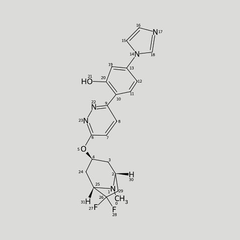 CN1[C@@H]2C[C@H](Oc3ccc(-c4ccc(-n5ccnc5)cc4O)nn3)C[C@H]1C(F)(F)C2